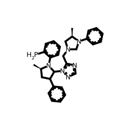 C[C@@H]1CN(Cc2ncnn2C2C(c3ccccc3)C[C@@H](C)N2c2ccccc2P)CN1c1ccccc1